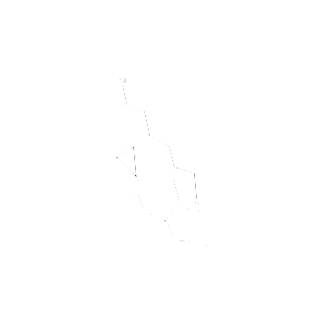 C1CC1.CO[SiH](OC)OC.NCCCCCCN